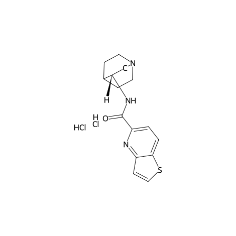 Cl.Cl.O=C(N[C@H]1CN2CCC1CC2)c1ccc2sccc2n1